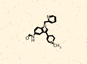 CN1CC=C(c2cn(Cc3ccccn3)c3ccc(NC=O)cc23)CC1